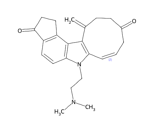 C=C1CCC(=O)C/C=C\c2c1c1c3c(ccc1n2CCN(C)C)C(=O)CC3